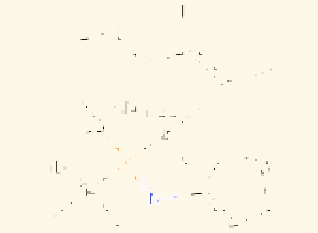 CC=CC=CC.CCCC[Si](C)(C)P(=NC1=CC=CC1)([Si](C)(C)CCCC)[Si](C)(C)CCCC.[Ti]